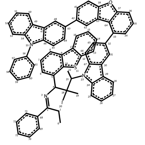 CC/C(=N\C(c1cccc2c1sc1ccccc12)C(C)(I)C(C)n1c2ccccc2c2cc(-c3cccc4oc5ccc(-c6ccc7c(c6)c6ccccc6n7-c6ccccc6)cc5c34)ccc21)c1ccccc1